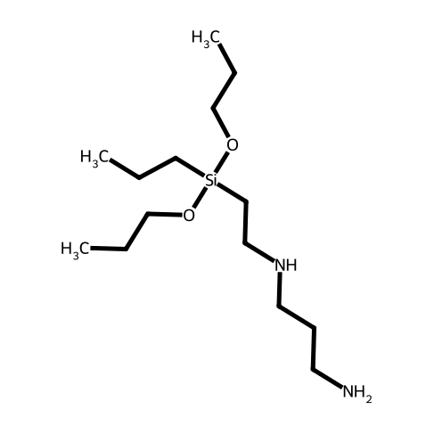 CCCO[Si](CCC)(CCNCCCN)OCCC